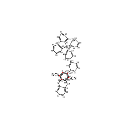 N#Cc1cccc2c1C1c3ccccc3C2c2c1ccc(-c1cccc(-c3ccc(S(c4ccccc4)(c4ccccc4)c4ccccc4)cc3)c1)c2C#N